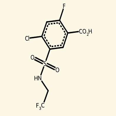 O=C(O)c1cc(S(=O)(=O)NCC(F)(F)F)c(Cl)cc1F